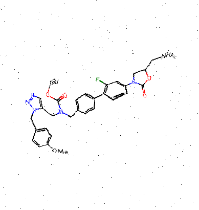 COc1ccc(Cn2nncc2CN(Cc2ccc(-c3ccc(N4CC(CNC(C)=O)OC4=O)cc3F)cc2)C(=O)OC(C)(C)C)cc1